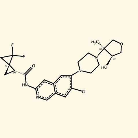 C[C@]1(N2CCN(c3cc4cc(NC(=O)[C@@H]5C[C@]56CC6(F)F)ncc4cc3Cl)CC2)COC[C@H]1O